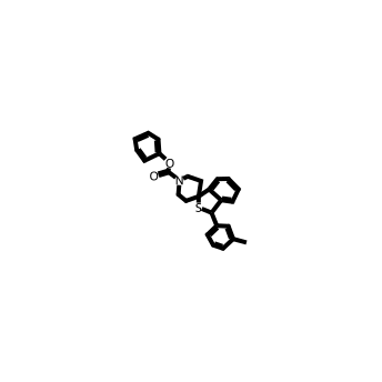 Cc1cccc(C2SC3(CCN(C(=O)Oc4ccccc4)CC3)c3ccccc32)c1